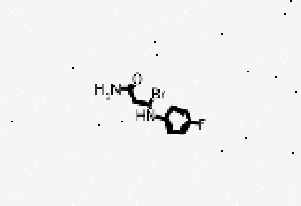 NC(=O)CC(Br)Nc1ccc(F)cc1